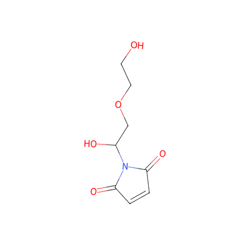 O=C1C=CC(=O)N1C(O)COCCO